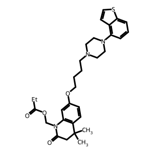 CCC(=O)OCN1C(=O)CC(C)(C)c2ccc(OCCCCN3CCN(c4cccc5sccc45)CC3)cc21